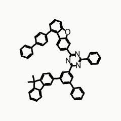 CC1(C)c2ccccc2-c2cc(-c3cc(-c4ccccc4)cc(-c4nc(-c5ccccc5)nc(-c5ccc6c(c5)oc5cccc(-c7ccc(-c8ccccc8)cc7)c56)n4)c3)ccc21